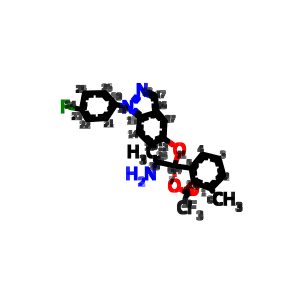 Cc1cccc([C@](OC(=O)C(F)(F)F)(Oc2ccc3c(cnn3-c3ccc(F)cc3)c2)[C@H](C)N)c1